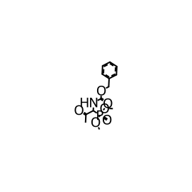 COP(=O)(OC)C(NC(=O)OCc1ccccc1)C(C)=O